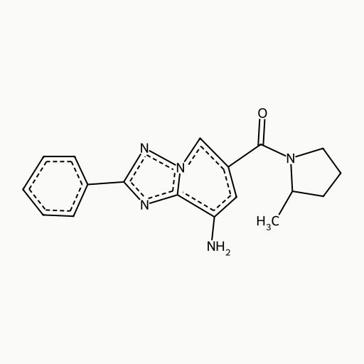 CC1CCCN1C(=O)c1cc(N)c2nc(-c3ccccc3)nn2c1